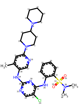 Cc1cc(N2CCC(N3CCCCC3)CC2)ncc1Nc1ncc(Cl)c(Nc2ccccc2S(=O)(=O)N(C)C)n1